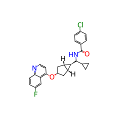 O=C(NC(C1CC1)[C@H]1[C@@H]2C[C@@H](Oc3ccnc4ccc(F)cc34)C[C@@H]21)c1ccc(Cl)cc1